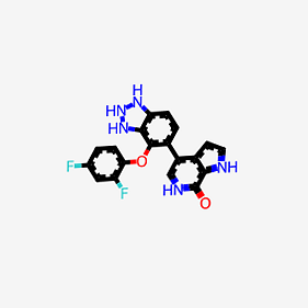 O=c1[nH]cc(-c2ccc3c(c2Oc2ccc(F)cc2F)NNN3)c2cc[nH]c12